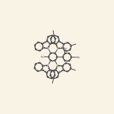 Cc1ccc2c(c1)c1cc(C)ccc1n2-c1c(-c2ccc(C(C)(C)C)cc2C(C)(C)C)c(-n2c3ccc(C)cc3c3cc(C)ccc32)c(-n2c3ccccc3c3ccccc32)c(C#N)c1-n1c2ccccc2c2ccccc21